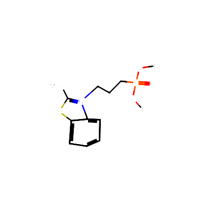 CCOP(=O)(CCC[n+]1c(SC)sc2ccccc21)OCC